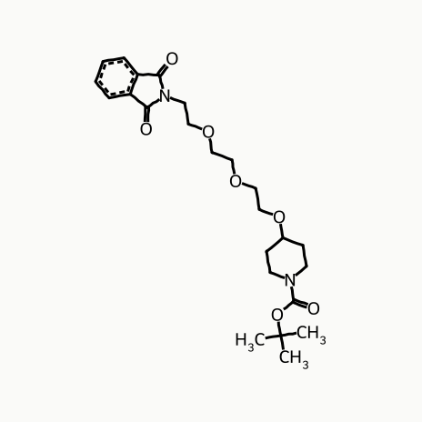 CC(C)(C)OC(=O)N1CCC(OCCOCCOCCN2C(=O)c3ccccc3C2=O)CC1